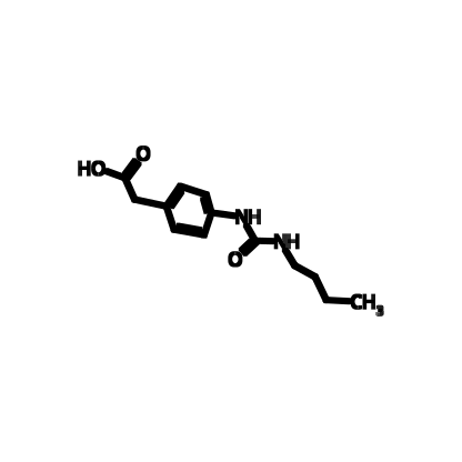 CCCCNC(=O)Nc1ccc(CC(=O)O)cc1